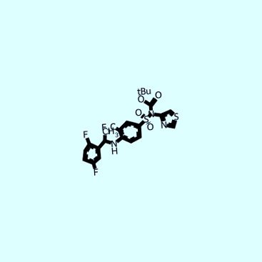 CC(Nc1ccc(S(=O)(=O)N(C(=O)OC(C)(C)C)c2cscn2)cc1C(F)(F)F)c1cc(F)ccc1F